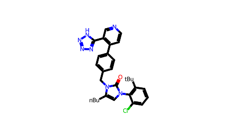 CCCCc1cn(-c2c(Cl)cccc2C(C)(C)C)c(=O)n1Cc1ccc(-c2ccncc2-c2nnn[nH]2)cc1